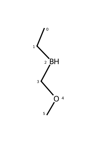 CCBCOC